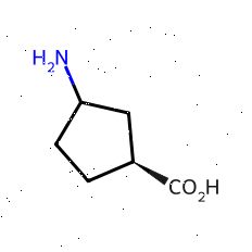 NC1CC[C@H](C(=O)O)C1